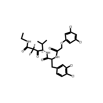 CCNC(=O)C(F)(F)C(=O)[C@@H](NC(=O)C(Cc1ccc(Cl)c(Cl)c1)NC(=O)COc1cc(Cl)cc(Cl)c1)C(C)C